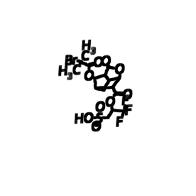 CC(C)(Br)C(=O)OC1C2CC3C(OC(=O)C31)C2C(=O)OC(CS(=O)(=O)O)C(F)(F)F